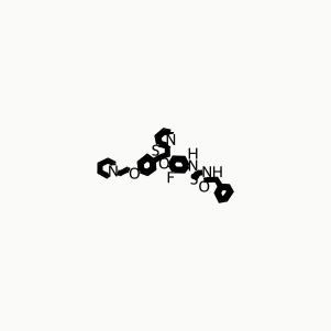 O=C(Cc1ccccc1)NC(=S)Nc1ccc(OC2(c3ccc(OCCN4CCCCC4)cc3)Cc3ncccc3S2)c(F)c1